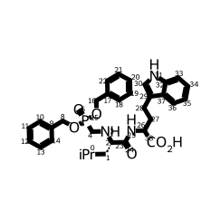 CC(C)C[C@H](NCP(=O)(OCc1ccccc1)OCc1ccccc1)C(=O)NC(CCc1c[nH]c2ccccc12)C(=O)O